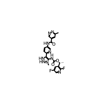 Cc1cc(C(=O)Nc2ccc(C3=C(NC(=O)O[C@H](C)c4cc(F)cnc4F)N(C)NN3)nc2)cnn1